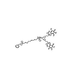 O=C(CCCCCCCCCCC(=O)OCc1ccccc1)NC(COCCC(=O)Oc1c(F)c(F)c(F)c(F)c1F)COCCC(=O)Oc1c(F)c(F)c(F)c(F)c1F